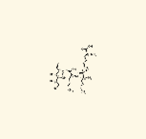 CSCC[C@H](N)C(=O)O.CSCC[C@H](N)C(=O)O.CSCC[C@H](N)C(=O)O.O=C[C@H](O)[C@@H](O)[C@H](O)[C@H](O)CO